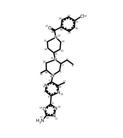 CCC1CN(c2ncc(-c3nnc(N)o3)nc2C)C(C)CN1C1CCN(C(=O)c2ccc(Cl)cc2)CC1